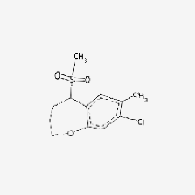 Cc1cc2c(cc1Cl)OCCCC2S(C)(=O)=O